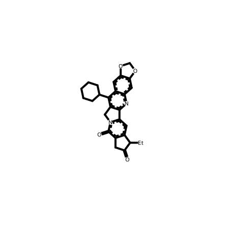 CC[C]1C(=O)Cc2c1cc1n(c2=O)Cc2c-1nc1cc3c(cc1c2C1CCCCC1)OCO3